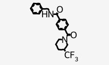 O=C(NCc1ccccc1)c1ccc(C(=O)N2CCCC(C(F)(F)F)C2)cc1